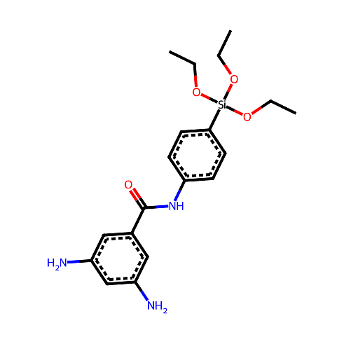 CCO[Si](OCC)(OCC)c1ccc(NC(=O)c2cc(N)cc(N)c2)cc1